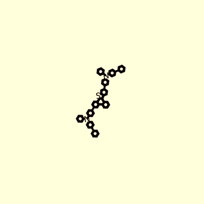 c1ccc(-c2ccc(N(c3ccccc3)c3ccc(-c4ccc5c(c4)sc4c6ccc(-c7ccc(N(c8ccccc8)c8ccc(-c9ccccc9)cc8)cc7)cc6c6ccccc6c54)cc3)cc2)cc1